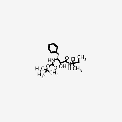 CCC(C)(C)NC(=O)C(O)[C@H](Cc1ccccc1)NC(=O)OC(C)(C)C